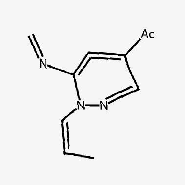 C=NC1=C=C(C(C)=O)C=NN1/C=C\C